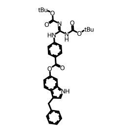 CC(C)(C)OC(=O)/N=C(/NC(=O)OC(C)(C)C)Nc1ccc(C(=O)Oc2ccc3c(Cc4ccccc4)c[nH]c3c2)cc1